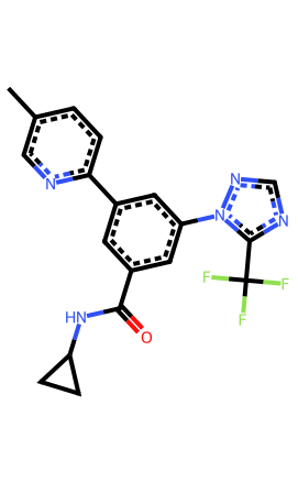 Cc1ccc(-c2cc(C(=O)NC3CC3)cc(-n3ncnc3C(F)(F)F)c2)nc1